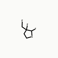 FCC1(F)CCSC1F